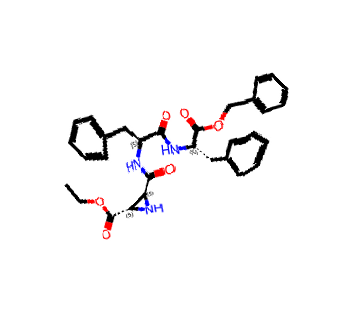 CCOC(=O)[C@H]1N[C@@H]1C(=O)N[C@@H](Cc1ccccc1)C(=O)N[C@@H](Cc1ccccc1)C(=O)OCc1ccccc1